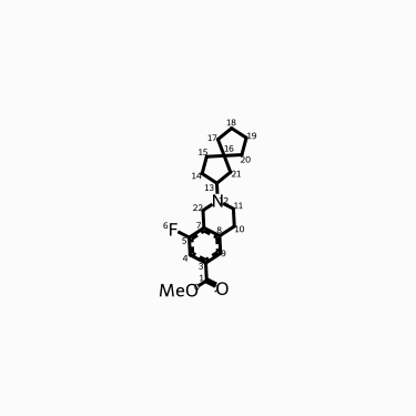 COC(=O)c1cc(F)c2c(c1)CCN(C1CCC3(CCCC3)C1)C2